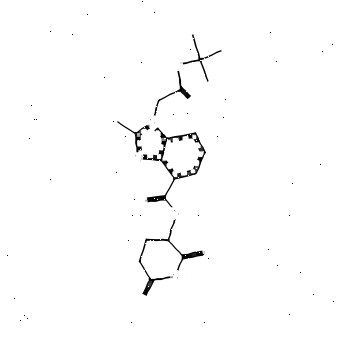 Cc1nc2c(C(=O)NC3CCC(=O)NC3=O)cccc2n1CC(=O)OC(C)(C)C